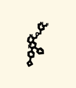 Fc1cc(COCc2nccc3nc(-c4ccc([C]5CCC5)cc4)c(-c4ccccc4)cc23)ccn1